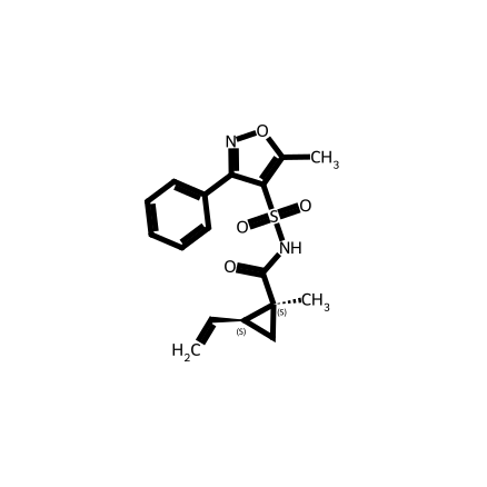 C=C[C@@H]1C[C@]1(C)C(=O)NS(=O)(=O)c1c(-c2ccccc2)noc1C